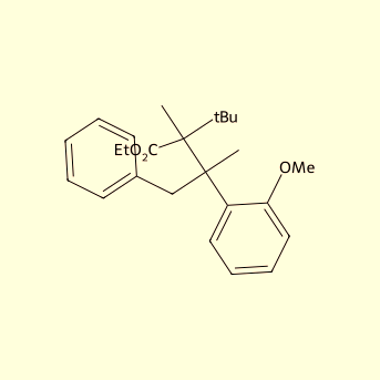 CCOC(=O)C(C)(C(C)(C)C)C(C)(Cc1ccccc1)c1ccccc1OC